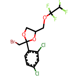 FC(F)C(F)(F)OCC1COC(CBr)(c2ccc(Cl)cc2Cl)O1